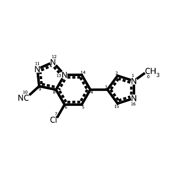 Cn1cc(-c2cc(Cl)c3c(C#N)nnn3c2)cn1